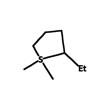 CCC1CCCS1(C)C